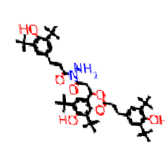 CC(C)(C)c1cc(CCC(=O)OC(CC(=O)N(N)C(=O)CCc2cc(C(C)(C)C)c(O)c(C(C)(C)C)c2)c2cc(C(C)(C)C)c(O)c(C(C)(C)C)c2)cc(C(C)(C)C)c1O